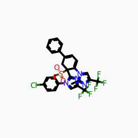 Cc1nc(C(F)(F)F)cn1C1=CC=C(c2ccccc2)CC1(c1nc(C(F)(F)F)cn1-c1ccc(Cl)cc1)S(C)(=O)=O